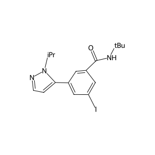 CC(C)n1nccc1-c1cc(I)cc(C(=O)NC(C)(C)C)c1